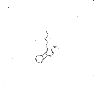 CCCCCc1c(N)ccc2c1-c1ccccc1-2